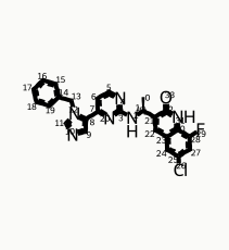 C[C@H](Nc1nccc(-c2cncn2Cc2ccccc2)n1)c1cc2cc(Cl)cc(F)c2[nH]c1=O